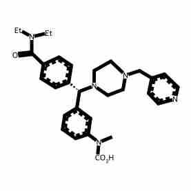 CCN(CC)C(=O)c1ccc([C@@H](c2cccc(N(C)C(=O)O)c2)N2CCN(Cc3ccncc3)CC2)cc1